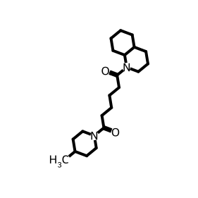 CC1CCN(C(=O)CCCCC(=O)N2CCCC3CCCCC32)CC1